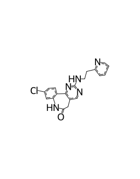 O=C1Cc2cnc(NCCc3ccccn3)nc2-c2ccc(Cl)cc2N1